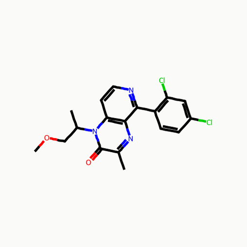 COCC(C)n1c(=O)c(C)nc2c(-c3ccc(Cl)cc3Cl)nccc21